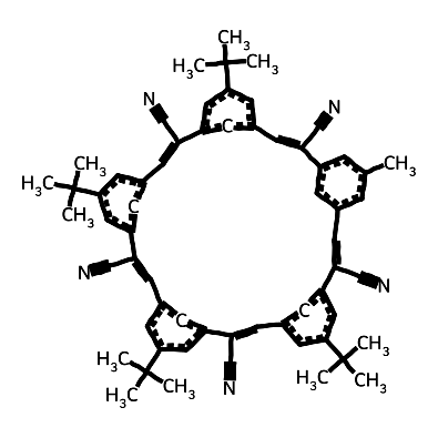 Cc1cc2cc(c1)/C(C#N)=C/c1cc(cc(C(C)(C)C)c1)/C(C#N)=C/c1cc(cc(C(C)(C)C)c1)/C(C#N)=C/c1cc(cc(C(C)(C)C)c1)/C(C#N)=C/c1cc(cc(C(C)(C)C)c1)/C(C#N)=C/2